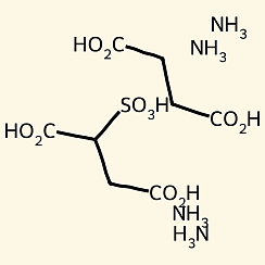 N.N.N.N.O=C(O)CC(C(=O)O)S(=O)(=O)O.O=C(O)CCC(=O)O